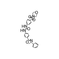 O=C(Nc1ccc(C2=NC(c3ccccc3)CO2)cc1)Nc1ccc(S(=O)(=O)N2CCOCC2)cc1